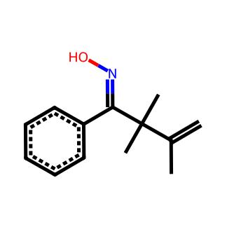 C=C(C)C(C)(C)/C(=N/O)c1ccccc1